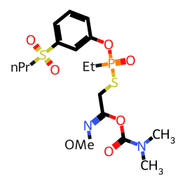 CCCS(=O)(=O)c1cccc(OP(=O)(CC)SCC(=NOC)OC(=O)N(C)C)c1